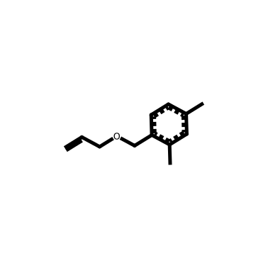 C=CCOCc1ccc(C)cc1C